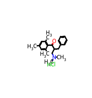 Cc1cc(C)c(C(=O)C(Cc2ccccc2)CN(C)C)c(C)c1.Cl